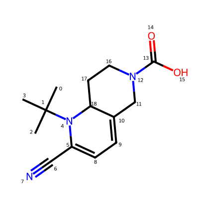 CC(C)(C)N1C(C#N)=CC=C2CN(C(=O)O)CCC21